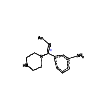 CC(=O)/N=C(/c1cccc(N)c1)N1CCNCC1